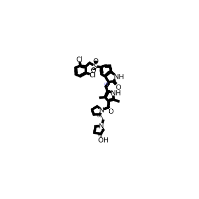 Cc1[nH]c(/C=C2\C(=O)Nc3ccc(S(=O)(=O)Cc4c(Cl)cccc4Cl)cc32)c(C)c1C(=O)N1CCC[C@H]1CN1CC[C@@H](O)C1